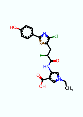 CCn1cc(NC(=O)C(F)Cc2sc(-c3ccc(O)cc3)nc2Cl)c(C(=O)O)c1